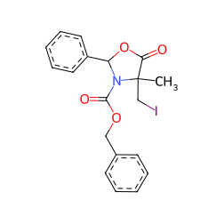 CC1(CI)C(=O)OC(c2ccccc2)N1C(=O)OCc1ccccc1